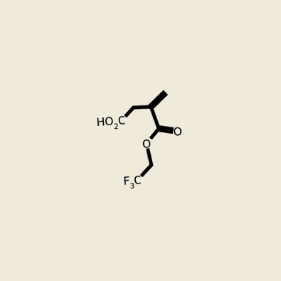 C=C(CC(=O)O)C(=O)OCC(F)(F)F